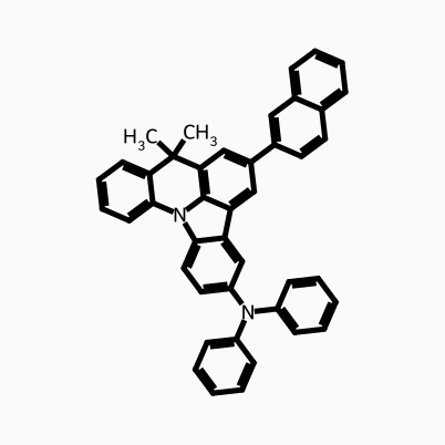 CC1(C)c2ccccc2-n2c3ccc(N(c4ccccc4)c4ccccc4)cc3c3cc(-c4ccc5ccccc5c4)cc1c32